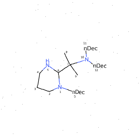 CCCCCCCCCCN1CCCNC1C(C)(C)N(CCCCCCCCCC)CCCCCCCCCC